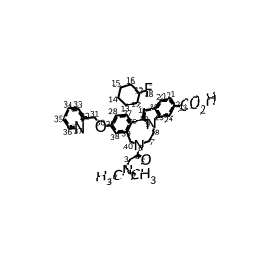 CN(C)CC(=O)N1CCn2c(c([C@@H]3CCCC[C@H]3F)c3ccc(C(=O)O)cc32)-c2ccc(OCc3ccccn3)cc2C1